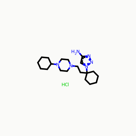 Cl.Nc1cn(C2(CCN3CCN(C4CCCCC4)CC3)CCCCC2)nn1